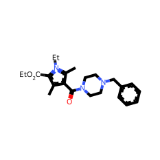 CCOC(=O)c1c(C)c(C(=O)N2CCN(Cc3ccccc3)CC2)c(C)n1CC